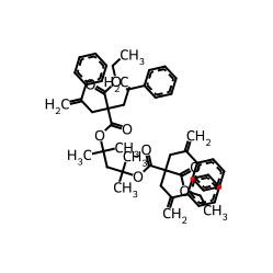 C=C(CC(CC(=C)c1ccccc1)(C(=O)OCC)C(=O)OC(C)(C)CC(C)(C)OC(=O)C(CC(=C)c1ccccc1)(CC(=C)c1ccccc1)C(=O)OCC)c1ccccc1